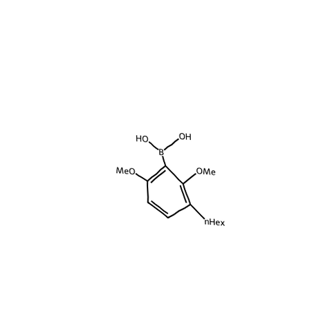 CCCCCCc1ccc(OC)c(B(O)O)c1OC